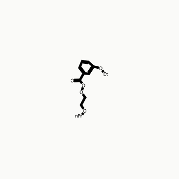 CCCOC[CH]OOC(=O)c1cccc(OCC)c1